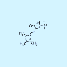 Cc1cc(C)c(C=Cc2cc(C(F)(F)F)nc[n+]2[O-])cc1C